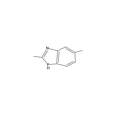 Cc1ccc2[pH]c(C)nc2c1